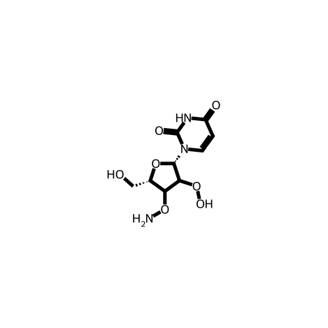 NOC1C(OO)[C@@H](n2ccc(=O)[nH]c2=O)O[C@H]1CO